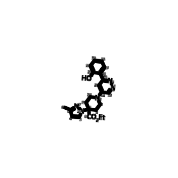 CCOC(=O)C1(n2ccc(C)n2)CCN(c2cnnc(-c3ccccc3O)c2)CC1